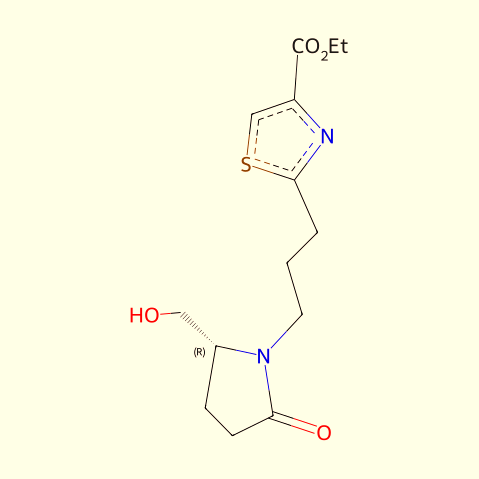 CCOC(=O)c1csc(CCCN2C(=O)CC[C@@H]2CO)n1